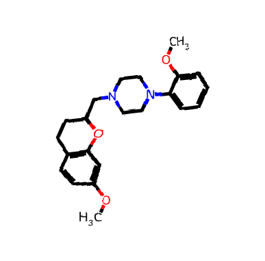 COc1ccc2c(c1)OC(CN1CCN(c3ccccc3OC)CC1)CC2